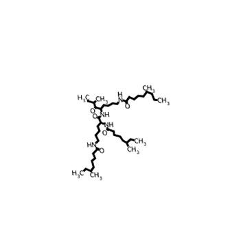 CCCC(C)CCCCC(=O)NCCCCC(NC(=O)C(CCCCNC(=O)CCCCC(C)CC)NC(=O)CCCCC(C)CC)C(=O)C(C)CC